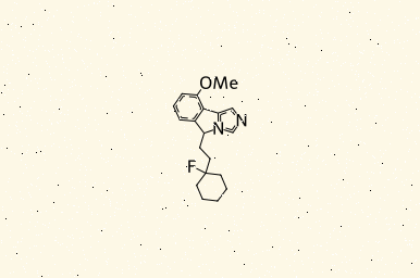 COc1cccc2c1-c1cncn1C2CCC1(F)CCCCC1